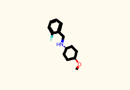 CO[C@H]1CC[C@H](NCc2ccccc2F)CC1